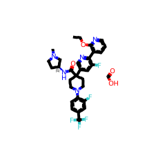 CCOc1ncccc1-c1ncc(C2(C(=O)N[C@H]3CCN(C)C3)CCN(c3ccc(C(F)(F)F)cc3F)CC2)cc1F.O=CO